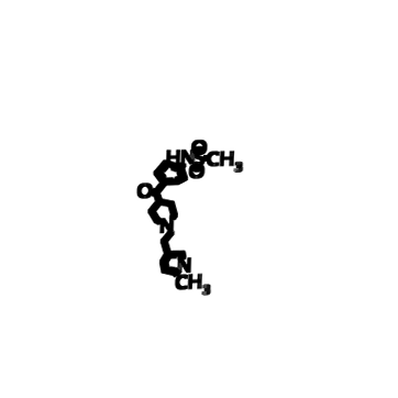 Cc1ccc(CCN2CCC(C(=O)c3ccc(NS(C)(=O)=O)cc3)CC2)cn1